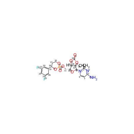 C=C1N=C(N)C=CN1[C@@H]1O[C@H](COP2(=O)OCCC(c3cc(F)cc(F)c3)O2)[C@H]2OC(=O)O[C@]21C